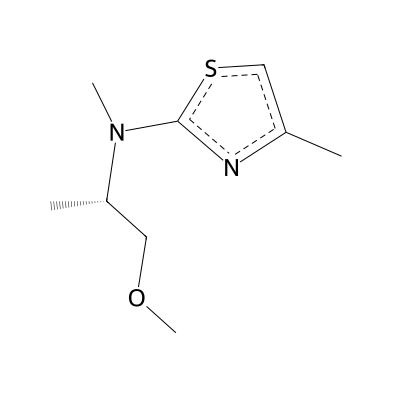 COC[C@H](C)N(C)c1nc(C)cs1